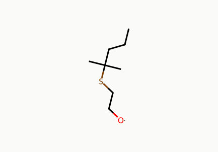 CCCC(C)(C)SCC[O]